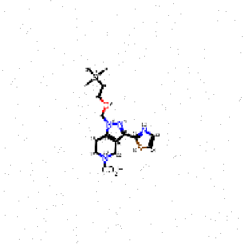 C[Si](C)(C)CCOCn1nc(-c2nccs2)c2c1CCN(C(=O)O)C2